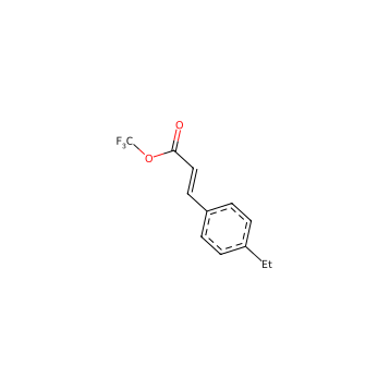 CCc1ccc(C=CC(=O)OC(F)(F)F)cc1